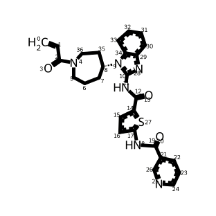 C=CC(=O)N1CCC[C@@H](n2c(NC(=O)c3ccc(NC(=O)c4cccnc4)s3)nc3ccccc32)CC1